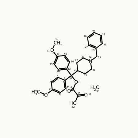 COc1ccc(C(OC(=O)C(=O)O)(c2ccc(OC)cc2)C2CCN(Cc3ccccc3)CC2)cc1.O